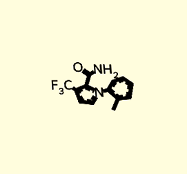 Cc1ccccc1-n1ccc(C(F)(F)F)c1C(N)=O